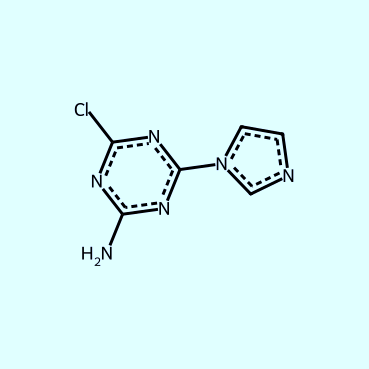 Nc1nc(Cl)nc(-n2ccnc2)n1